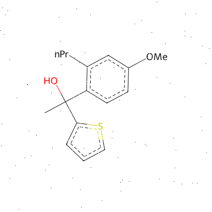 CCCc1cc(OC)ccc1C(C)(O)c1cccs1